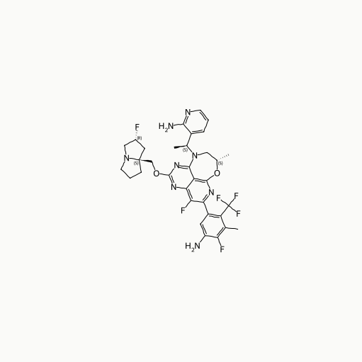 Cc1c(F)c(N)cc(-c2nc3c4c(nc(OC[C@@]56CCCN5C[C@H](F)C6)nc4c2F)N([C@@H](C)c2cccnc2N)C[C@H](C)O3)c1C(F)(F)F